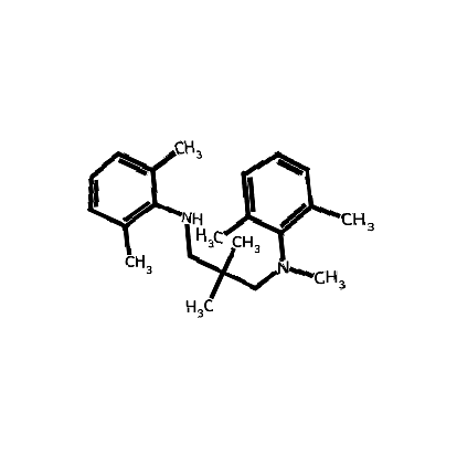 Cc1cccc(C)c1NCC(C)(C)CN(C)c1c(C)cccc1C